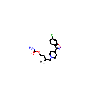 CC(CCOC(N)=O)CN1CCC(c2noc3cc(F)ccc23)CC1